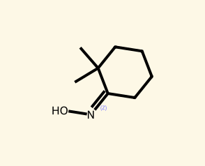 CC1(C)CCCC/C1=N/O